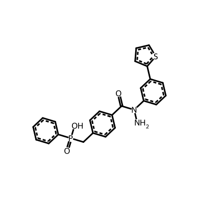 NN(C(=O)c1ccc(CP(=O)(O)c2ccccc2)cc1)c1cccc(-c2cccs2)c1